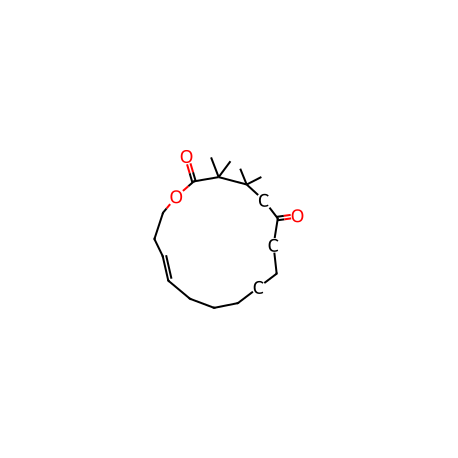 CC1(C)CC(=O)CCCCCC/C=C/CCOC(=O)C1(C)C